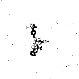 Cc1cn[nH]c1-c1ccc(CNC(=O)[C@@H]2C[C@@H](O)CN2C(=O)[C@H](C(C)C)N2Cc3ccccc3C2=O)cc1